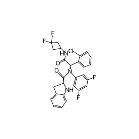 O=C(NC1CC(F)(F)C1)[C@@H](c1ccccc1Cl)N(C(=O)[C@@H]1Cc2ccccc2N1)c1cc(F)cc(F)c1